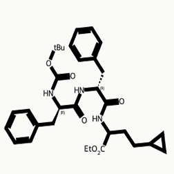 CCOC(=O)C(CCC1CC1)NC(=O)[C@@H](Cc1ccccc1)NC(=O)[C@@H](Cc1ccccc1)NC(=O)OC(C)(C)C